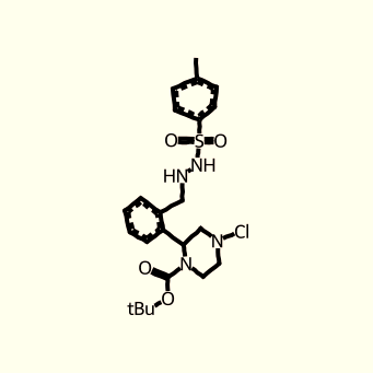 Cc1ccc(S(=O)(=O)NNCc2ccccc2C2CN(Cl)CCN2C(=O)OC(C)(C)C)cc1